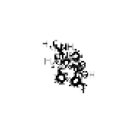 CC[C@H](N)C(=O)N[C@H](C(=O)N1CCC[C@H]1C1=N[C@](CO)(Cc2cccc(CI)c2)CO1)[C@@H](C)OCc1ccccc1